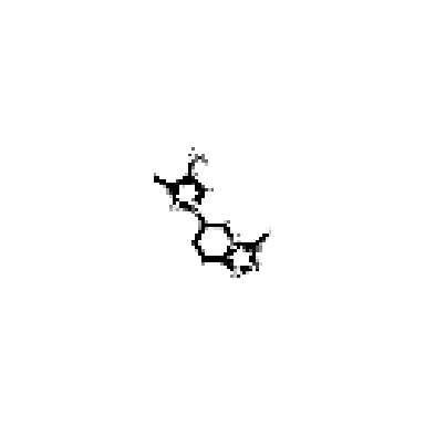 Cc1nn(C2CCc3nnc(C)n3C2)cc1N